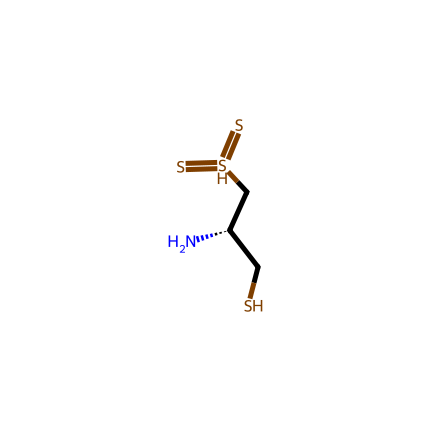 N[C@@H](CS)C[SH](=S)=S